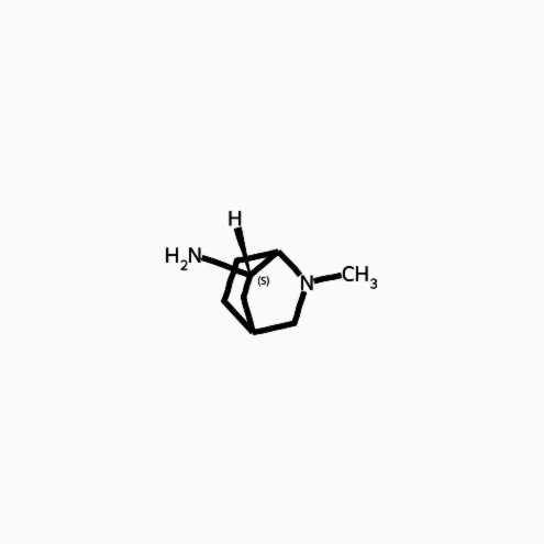 CN1CC2CCC1[C@@H](N)C2